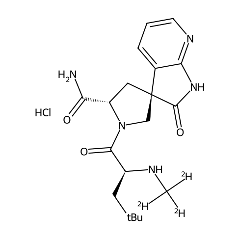 Cl.[2H]C([2H])([2H])N[C@@H](CC(C)(C)C)C(=O)N1C[C@]2(C[C@H]1C(N)=O)C(=O)Nc1ncccc12